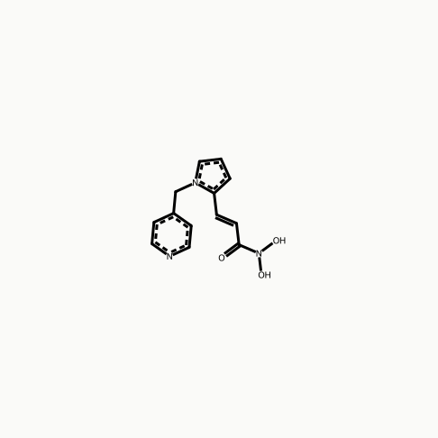 O=C(C=Cc1cccn1Cc1ccncc1)N(O)O